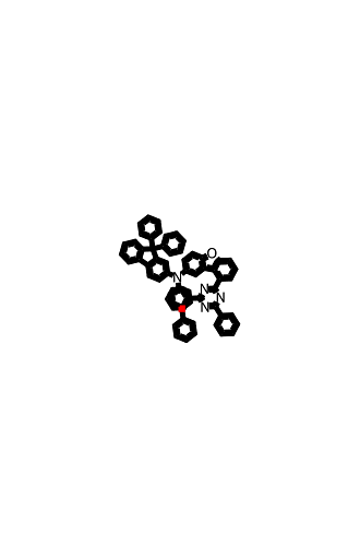 c1ccc(-c2ccc(N(c3ccc4c(c3)C(c3ccccc3)(c3ccccc3)c3ccccc3-4)c3ccc4oc5cccc(-c6nc(-c7ccccc7)nc(-c7ccccc7)n6)c5c4c3)cc2)cc1